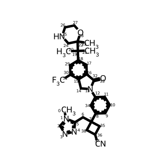 Cn1cnnc1CC1(c2cccc(N3Cc4c(cc(C(C)(C)C5(C)CNCCO5)cc4C(F)(F)F)C3=O)c2)CC(C#N)C1